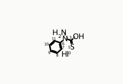 I.NN(C(O)=S)c1ccccc1